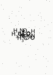 COc1c(-c2cnn(C)c2C(N)=O)cccc1[C@H]1CCCCN1